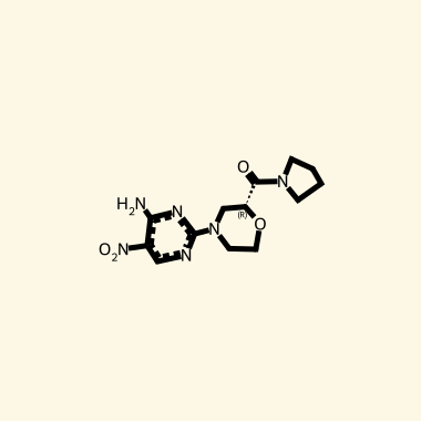 Nc1nc(N2CCO[C@@H](C(=O)N3CCCC3)C2)ncc1[N+](=O)[O-]